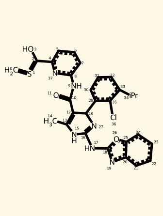 C=S=C(O)c1cccc(NC(=O)C2=C(C)NC(Nc3nc4ccccc4o3)=NC2c2cccc(C(C)C)c2Cl)n1